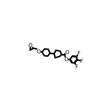 O=C(Oc1cc(F)c(F)c(F)c1)C1CCC(C2CCC(OCC3CO3)CC2)CC1